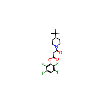 CC(C)(C)C1CCN(C(=O)CC(=O)Oc2c(F)c(F)cc(F)c2F)CC1